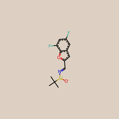 CC(C)(C)[S+]([O-])/N=C/c1cc2cc(F)cc(F)c2o1